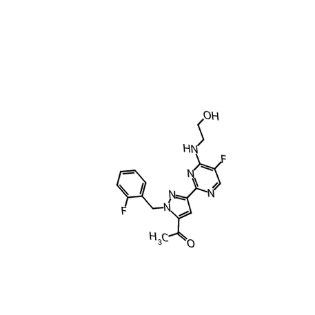 CC(=O)c1cc(-c2ncc(F)c(NCCO)n2)nn1Cc1ccccc1F